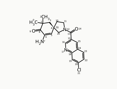 CC1(C)C[C@@]2(C=C(N)C1=O)CCN(C(=O)c1cnc3cc(Cl)ccc3c1)C2